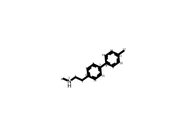 CNCCc1ccc(-c2ccc(C)cc2)cc1